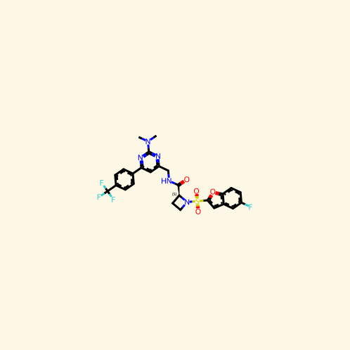 CN(C)c1nc(CNC(=O)[C@@H]2CCN2S(=O)(=O)c2cc3cc(F)ccc3o2)cc(-c2ccc(C(F)(F)F)cc2)n1